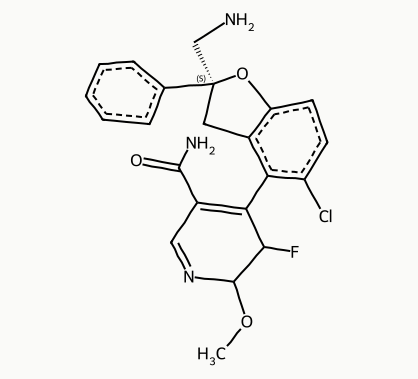 COC1N=CC(C(N)=O)=C(c2c(Cl)ccc3c2C[C@@](CN)(c2ccccc2)O3)C1F